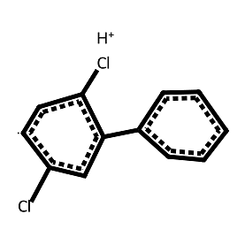 Clc1[c]cc(Cl)c(-c2ccccc2)c1.[H+]